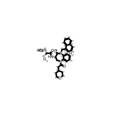 CN[C@@H](C)C(=O)N[C@H]1CN(C(=O)CC2CCOCC2)c2ccccc2N(Cc2c(C)ccc3ccccc23)C1=O.Cl